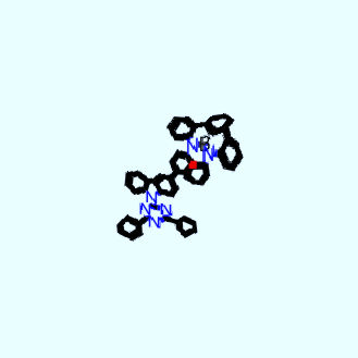 c1ccc(-c2nc(-c3ccccc3)nc(-n3c4ccccc4c4cc(-c5ccc(N6B7c8c(cccc8-c8ccccc86)-c6ccccc6N7c6ccccc6)cc5)ccc43)n2)cc1